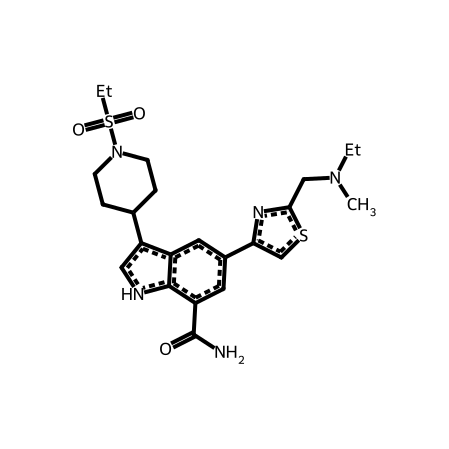 CCN(C)Cc1nc(-c2cc(C(N)=O)c3[nH]cc(C4CCN(S(=O)(=O)CC)CC4)c3c2)cs1